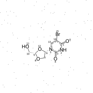 O=c1[nH]c(=O)n([C@@H]2CO[C@H](CO)O2)cc1Br